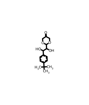 CC(C)(C)c1ccc(C(O)C(O)C2OCC(=O)CO2)cc1